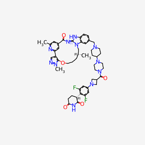 Cc1cc2cc(n1)-c1cnn(C)c1OCCC[C@@H](C)CN1/C(=N/C2=O)Nc2ccc(CN3CCC(N4CCN(C(=O)C5CN(c6cc(F)c([C@H]7CCC(=O)NC7=O)c(F)c6)C5)CC4)CC3)cc21